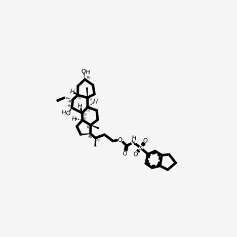 CC[C@H]1[C@@H](O)[C@@H]2[C@H](CC[C@]3(C)[C@@H]([C@H](C)CCOC(=O)NS(=O)(=O)c4ccc5c(c4)CCC5)CC[C@@H]23)[C@@]2(C)CC[C@@H](O)C[C@@H]12